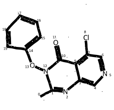 Cc1nc2cncc(Cl)c2c(=O)n1Oc1ccccc1